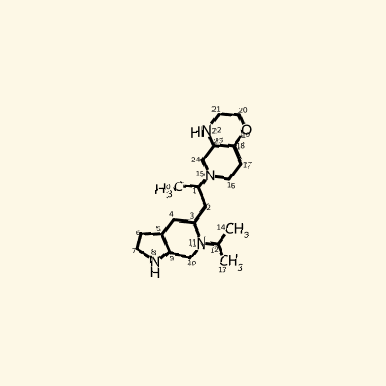 CC(CC1CC2CCNC2CN1C(C)C)N1CCC2OCCNC2C1